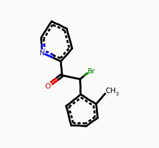 Cc1ccccc1C(Br)C(=O)c1ccccn1